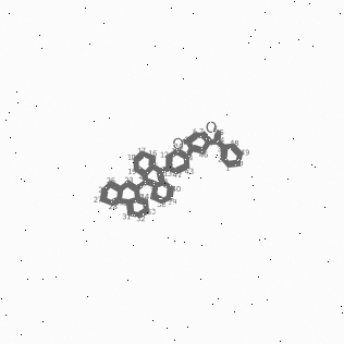 c1ccc(-c2coc3cc4oc5cc(-c6c7ccccc7c(-c7cc8ccccc8c8ccccc78)c7ccccc67)ccc5c4cc23)cc1